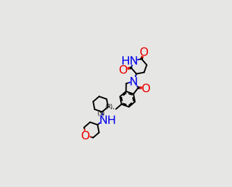 O=C1CCC(N2Cc3cc(C[C@H]4CCCC[C@@H]4NC4CCOCC4)ccc3C2=O)C(=O)N1